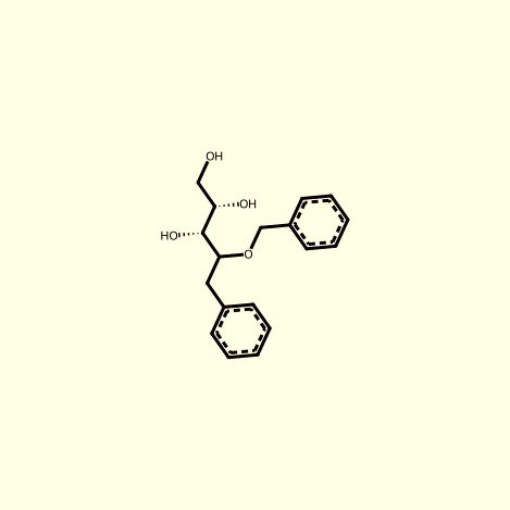 OC[C@H](O)[C@@H](O)C(Cc1ccccc1)OCc1ccccc1